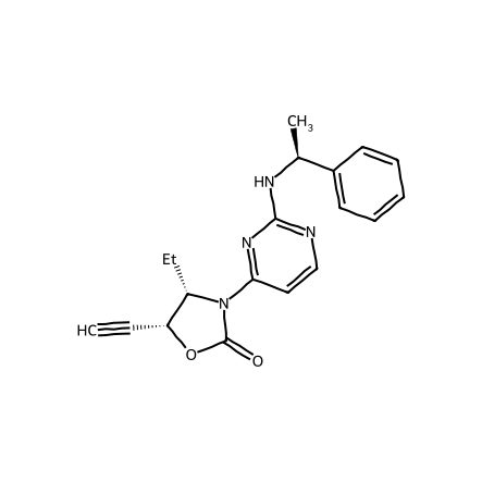 C#C[C@H]1OC(=O)N(c2ccnc(N[C@@H](C)c3ccccc3)n2)[C@H]1CC